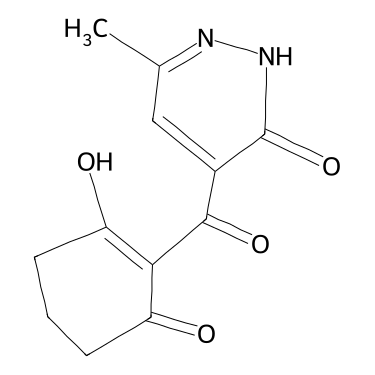 Cc1cc(C(=O)C2=C(O)CCCC2=O)c(=O)[nH]n1